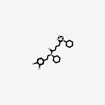 O=C(CCCc1nnnn1C1CCCCC1)N(CCc1ccc(Cl)c(Cl)c1)C1CCCCC1